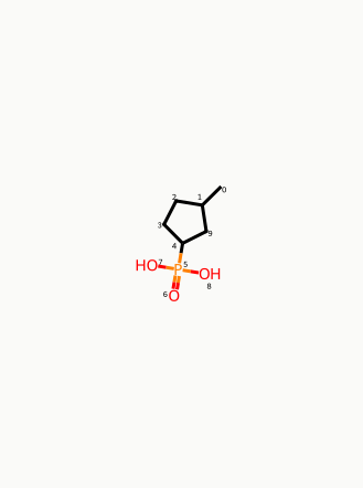 CC1CCC(P(=O)(O)O)C1